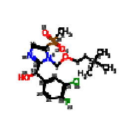 C[Si](C)(C)CCOCn1c(S(C)(=O)=O)cnc1C(O)c1ccc(F)c(Cl)c1